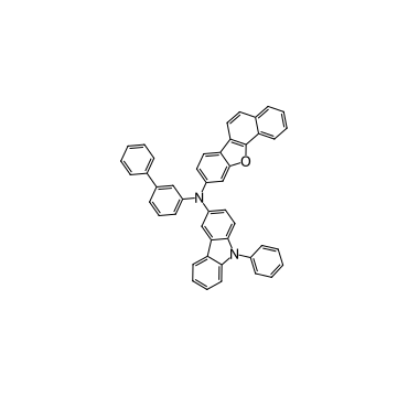 c1ccc(-c2cccc(N(c3ccc4c(c3)oc3c5ccccc5ccc43)c3ccc4c(c3)c3ccccc3n4-c3ccccc3)c2)cc1